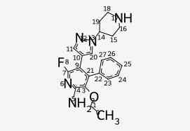 CCOc1c(N)nc(F)c(-c2cnn(C3CCNCC3)c2)c1-c1ccccc1